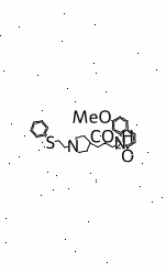 COc1ccc2ccc(=O)n(CCCC3(C(=O)O)CCN(CCSc4ccccc4)CC3)c2c1